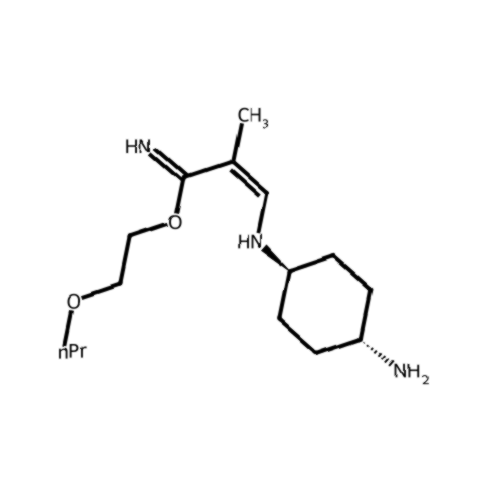 CCCOCCOC(=N)/C(C)=C\N[C@H]1CC[C@H](N)CC1